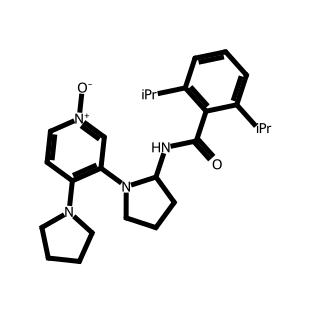 CC(C)c1cccc(C(C)C)c1C(=O)NC1CCCN1c1c[n+]([O-])ccc1N1CCCC1